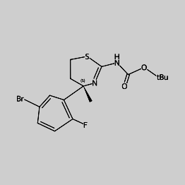 CC(C)(C)OC(=O)NC1=N[C@](C)(c2cc(Br)ccc2F)CCS1